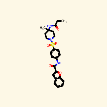 C=CC(=O)NC1(C)CCN(S(=O)(=O)c2ccc(NC(=O)c3cc4ccccc4o3)cc2)CC1